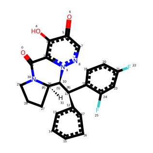 O=C1c2c(O)c(=O)cnn2[C@@H]([C@H](c2ccccc2)c2ccc(F)cc2F)[C@H]2CCCN12